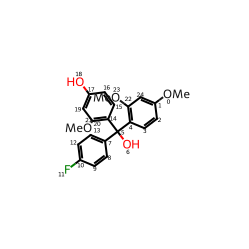 COc1ccc(C(O)(c2ccc(F)cc2)c2ccc(O)cc2OC)c(OC)c1